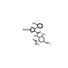 COc1cc(C(=O)NC2C(C)CC(N)C[C@@H]2C(N)=O)n(-c2ncccc2Cl)n1